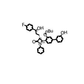 CCCCOc1cc(-c2cccc(O)c2)ccc1[C@@H]1[C@@H](CC[C@H](O)c2ccc(F)cc2)C(=O)N1c1ccccc1